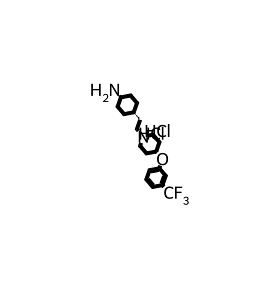 Cl.Cl.N[C@H]1CC[C@H](CCN2CCC(Oc3cccc(C(F)(F)F)c3)CC2)CC1